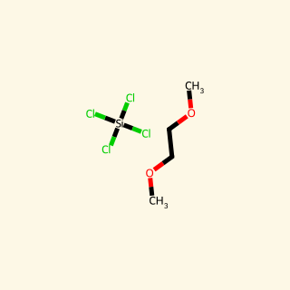 COCCOC.Cl[Si](Cl)(Cl)Cl